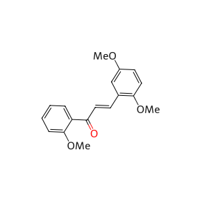 COc1ccc(OC)c(C=CC(=O)c2ccccc2OC)c1